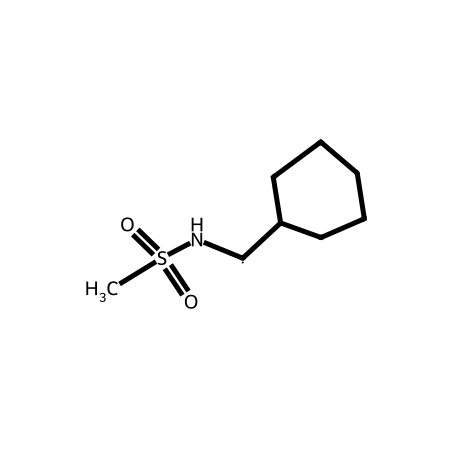 CS(=O)(=O)N[CH]C1CCCCC1